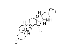 CC1=C2C[C@H]3[C@@H](CCC4=CC(=O)CC[C@@]43C)[C@@H]2CC[C@]12O[C@@H]1C[C@H](C)CN[C@H]1[C@H]2I